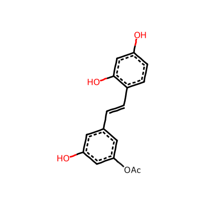 CC(=O)Oc1cc(O)cc(/C=C/c2ccc(O)cc2O)c1